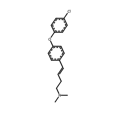 CN(C)CCC=Cc1ccc(Oc2ccc(Cl)cc2)cc1